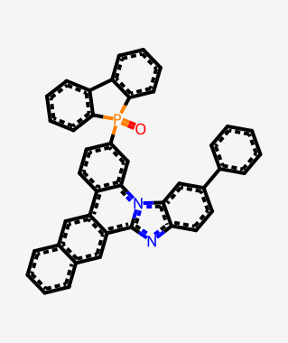 O=P1(c2ccc3c4cc5ccccc5cc4c4nc5ccc(-c6ccccc6)cc5n4c3c2)c2ccccc2-c2ccccc21